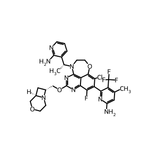 Cc1cc(N)nc(-c2c(Cl)c3c4c(nc(OC[C@H]5C[C@@H]6COCCN65)nc4c2F)N([C@H](C)c2cccnc2N)CCO3)c1C(F)(F)F